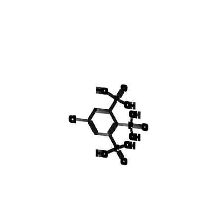 O=P(O)(O)c1cc(Cl)cc(P(=O)(O)O)c1P(=O)(O)O